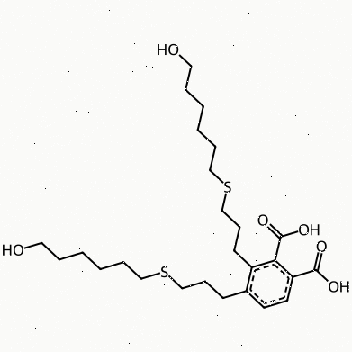 O=C(O)c1ccc(CCCSCCCCCCO)c(CCCSCCCCCCO)c1C(=O)O